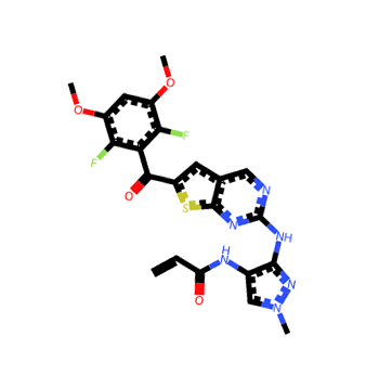 C=CC(=O)Nc1cn(C)nc1Nc1ncc2cc(C(=O)c3c(F)c(OC)cc(OC)c3F)sc2n1